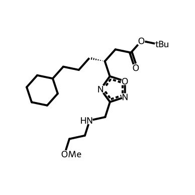 COCCNCc1noc([C@H](CCCC2CCCCC2)CC(=O)OC(C)(C)C)n1